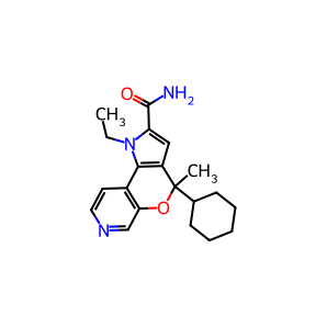 CCn1c(C(N)=O)cc2c1-c1ccncc1OC2(C)C1CCCCC1